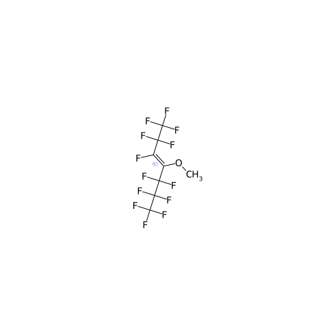 CO/C(=C(/F)C(F)(F)C(F)(F)F)C(F)(F)C(F)(F)C(F)(F)F